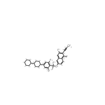 Fc1cc2cc(OC(F)(F)c3c(F)cc(C4CCC(C5CCCCC5)CC4)cc3F)ccc2c(F)c1C#CC(F)(F)F